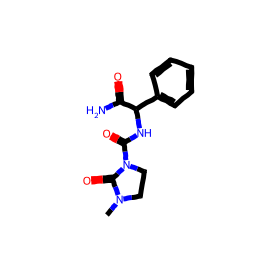 CN1CCN(C(=O)NC(C(N)=O)c2ccccc2)C1=O